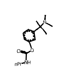 CCCNC(=O)Oc1cccc(C(C)(C)N(C)C)c1